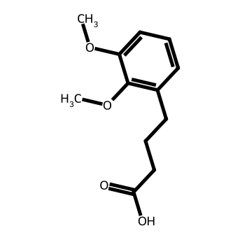 COc1cccc(CCCC(=O)O)c1OC